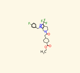 CCOC(=O)C1CCC(CC(=O)N2CCc3c(C(F)(F)F)nn(Cc4ccc(F)cc4)c3C2)CC1